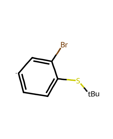 CC(C)(C)Sc1cc[c]cc1Br